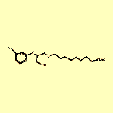 CCCCCCCCCCCCCCCCCCOC[C@@H](CO)Oc1cccc(C#N)c1